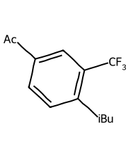 CCC(C)c1ccc(C(C)=O)cc1C(F)(F)F